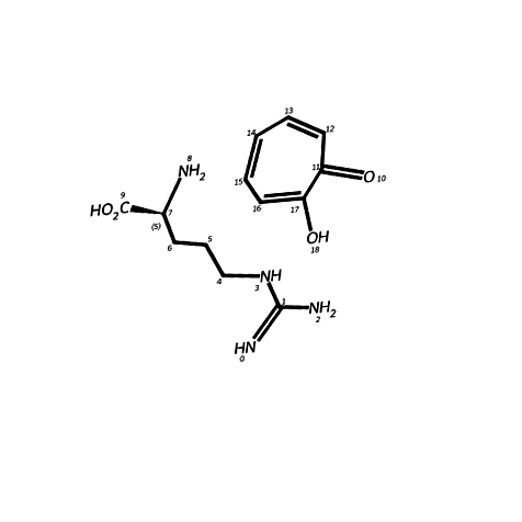 N=C(N)NCCC[C@H](N)C(=O)O.O=c1cccccc1O